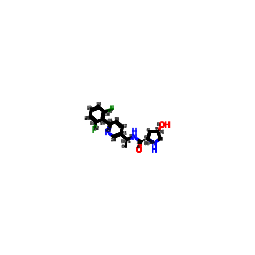 C[C@H](NC(=O)[C@@H]1C[C@@H](O)CN1)c1ccc(-c2c(F)cccc2F)nc1